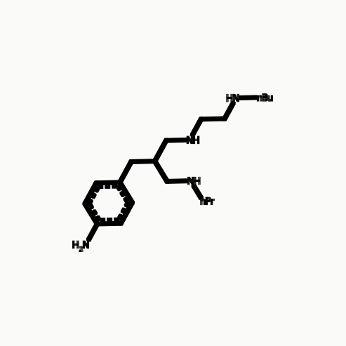 CCCCNCCNCC(CNCCC)Cc1ccc(N)cc1